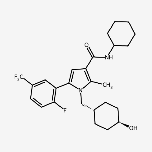 Cc1c(C(=O)NC2CCCCC2)cc(-c2cc(C(F)(F)F)ccc2F)n1C[C@H]1CC[C@H](O)CC1